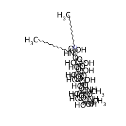 CCCCCCCCCCCCC/C=C/[C@@H](O)[C@H](CO[C@@H]1OC(CO)[C@@H](O[C@@H]2OC(CO)[C@H](O)[C@H](O[C@H]3OC(CO)[C@H](O)[C@H](O[C@@H]4OC(CO)[C@H](O)[C@H](O[C@H]5OC(CO)[C@H](O)[C@H](O)C5NC(C)=O)C4NC(C)=O)C3O)C2O)[C@H](O)C1O)NC(=O)CCCCCCCCCCCCCCC